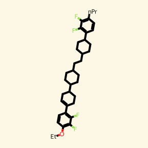 CCCc1ccc(C2CCC(CCC3CCC(C4CC=C(c5ccc(OCC)c(F)c5F)CC4)CC3)CC2)c(F)c1F